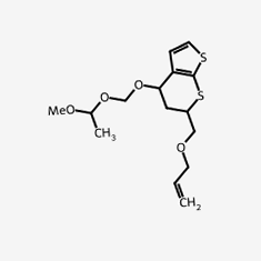 C=CCOCC1CC(OCOC(C)OC)c2ccsc2S1